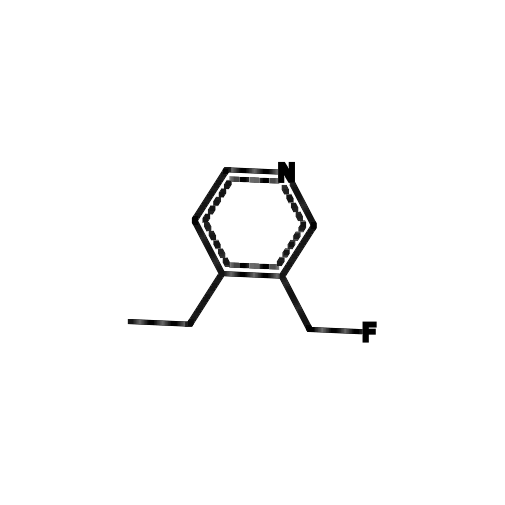 CCc1ccncc1CF